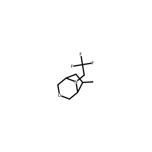 CC1CC2COCC1N2CC(F)(F)F